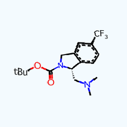 CN(C)C[C@H]1c2ccc(C(F)(F)F)cc2CN1C(=O)OC(C)(C)C